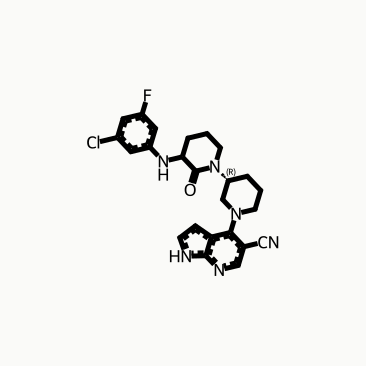 N#Cc1cnc2[nH]ccc2c1N1CCC[C@@H](N2CCCC(Nc3cc(F)cc(Cl)c3)C2=O)C1